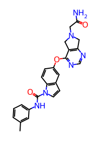 Cc1cccc(NC(=O)n2ccc3cc(Oc4ncnc5c4CN(CC(N)=O)C5)ccc32)c1